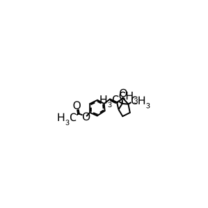 CC(=O)Oc1ccc(C=C2C(=O)C3(C)CCC2C3(C)C)cc1